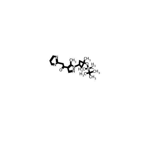 Cc1c(C(=O)Cc2ncccn2)cnn1C1CC(C)(O[Si](C)(C)C(C)(C)C)C1